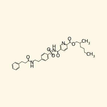 CCCCC(C)COC(=O)c1ccc(C(=O)NS(=O)(=O)c2ccc(CCNC(=O)CCc3ccccc3)cc2)cn1